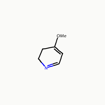 COC1=CC=NCC1